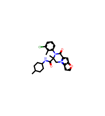 Cc1c(Cl)cccc1N1C(=O)c2cc3occc3n2CC1(C)C(=O)NC1CCC(C)CC1